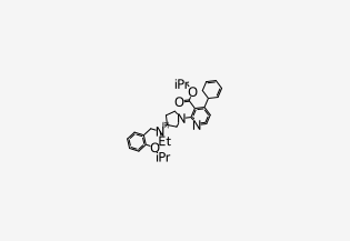 CCN(Cc1ccccc1OC(C)C)[C@@H]1CCN(c2nccc(C3C=CC=CC3)c2C(=O)OC(C)C)C1